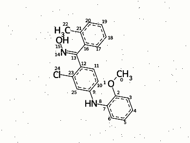 COc1ccccc1Nc1ccc(C(=NO)c2ccccc2C)c(Cl)c1